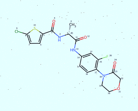 C[C@@H](NC(=O)c1ccc(Cl)s1)C(=O)Nc1ccc(N2CCOCC2=O)c(F)c1